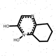 Oc1cnc2c([n+]1O)CCCC2